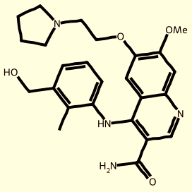 COc1cc2ncc(C(N)=O)c(Nc3cccc(CO)c3C)c2cc1OCCN1CCCC1